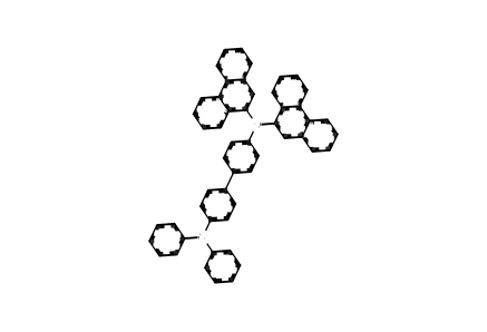 c1ccc(N(c2ccccc2)c2ccc(-c3ccc(N(c4cc5ccccc5c5ccccc45)c4cc5ccccc5c5ccccc45)cc3)cc2)cc1